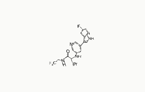 CC(C)C(Nc1cncc(-c2c[nH]c3ncc(F)cc23)c1)C(=O)NCC(F)(F)F